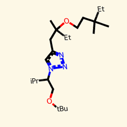 CCC(C)(C)CCOC(C)(CC)Cc1cn(C(COC(C)(C)C)C(C)C)nn1